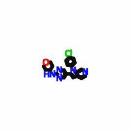 Clc1ccc(-n2c(-c3cnc(NC4CCOCC4)nc3)cc3ccncc32)cc1